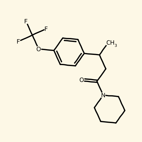 CC(CC(=O)N1CCCCC1)c1ccc(OC(F)(F)F)cc1